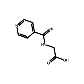 N=C(NCC(=O)O)c1ccncc1